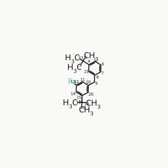 CC(C)(C)c1cccc(Cc2cc(F)cc(C(C)(C)C)c2)c1